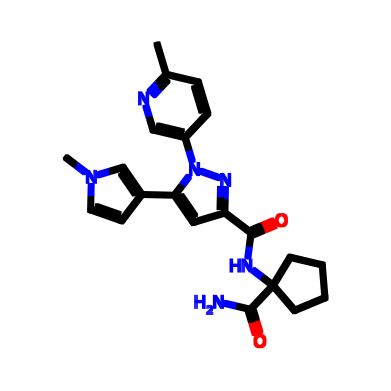 Cc1ccc(-n2nc(C(=O)NC3(C(N)=O)CCCC3)cc2-c2ccn(C)c2)cn1